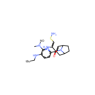 CN(N=O)c1nc(C2=CC3CCC(C2)N3C(=O)/C(N)=C/SN)ccc1NCC(C)(C)C